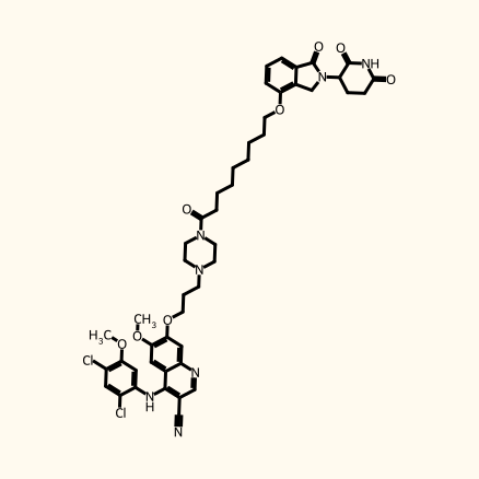 COc1cc(Nc2c(C#N)cnc3cc(OCCCN4CCN(C(=O)CCCCCCCCOc5cccc6c5CN(C5CCC(=O)NC5=O)C6=O)CC4)c(OC)cc23)c(Cl)cc1Cl